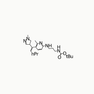 CCC/C=C(\c1ccc(NCCCNC(=O)OC(C)(C)C)nc1C)C1C=NN(C)C1